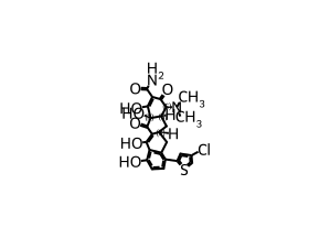 CN(C)[C@@H]1C(=O)C(C(N)=O)=C(O)[C@@]2(O)C(=O)C3=C(O)c4c(O)ccc(-c5cc(Cl)cs5)c4C[C@H]3C[C@@H]12